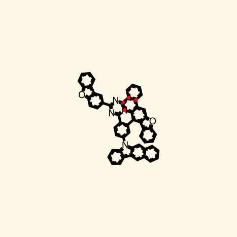 c1ccc(-c2nc(-c3ccc4oc5ccccc5c4c3)nc(-c3ccc(-n4c5ccccc5c5cc6ccccc6cc54)cc3-c3c4ccccc4cc4oc5ccccc5c34)n2)cc1